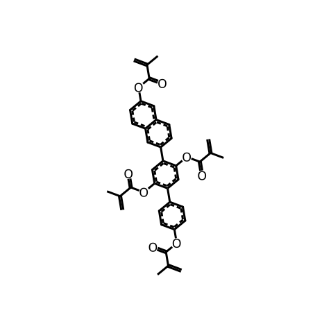 C=C(C)C(=O)Oc1ccc(-c2cc(OC(=O)C(=C)C)c(-c3ccc4cc(OC(=O)C(=C)C)ccc4c3)cc2OC(=O)C(=C)C)cc1